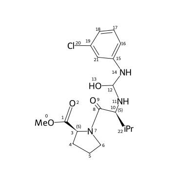 COC(=O)[C@@H]1CCCN1C(=O)[C@@H](NC(O)Nc1cccc(Cl)c1)C(C)C